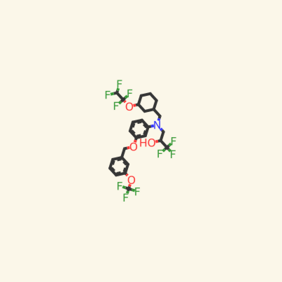 OC(CN(CC1CCCC(OC(F)(F)C(F)F)C1)c1cccc(OCc2cccc(OC(F)(F)F)c2)c1)C(F)(F)F